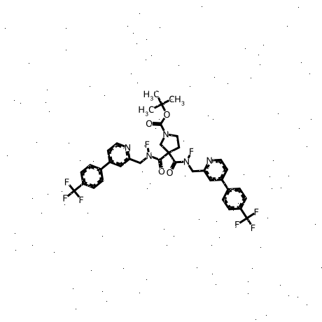 CC(C)(C)OC(=O)N1CCC(C(=O)N(F)Cc2cc(-c3ccc(C(F)(F)F)cc3)ccn2)(C(=O)N(F)Cc2cc(-c3ccc(C(F)(F)F)cc3)ccn2)C1